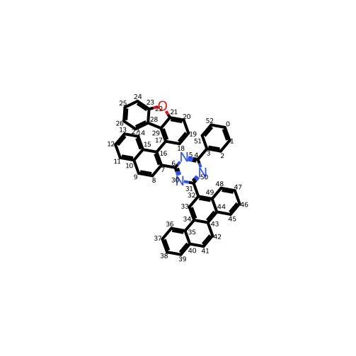 c1ccc(-c2nc(-c3ccc4ccccc4c3-c3cccc4oc5ccccc5c34)nc(-c3cc4c5ccccc5ccc4c4ccccc34)n2)cc1